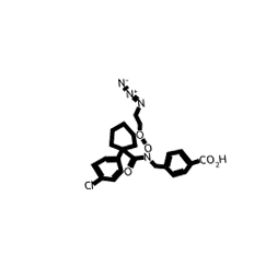 [N-]=[N+]=NCCOON(Cc1ccc(C(=O)O)cc1)C(=O)C1(c2ccc(Cl)cc2)CCCCC1